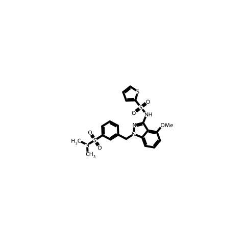 COc1cccc2c1c(NS(=O)(=O)c1cccs1)nn2Cc1cccc(S(=O)(=O)N(C)C)c1